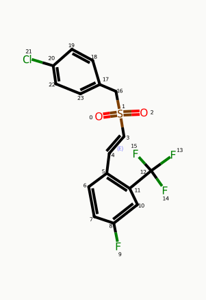 O=S(=O)(/C=C/c1ccc(F)cc1C(F)(F)F)Cc1ccc(Cl)cc1